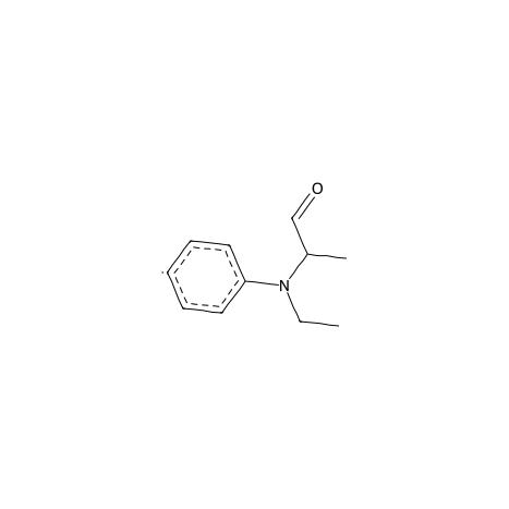 CCN(c1cc[c]cc1)C(C)C=O